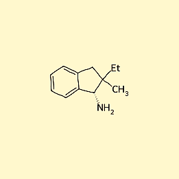 CCC1(C)Cc2ccccc2[C@H]1N